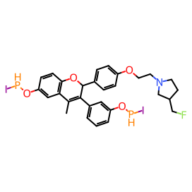 CC1=C(c2cccc(OPI)c2)C(c2ccc(OCCN3CCC(CF)C3)cc2)Oc2ccc(OPI)cc21